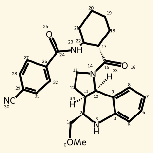 COC[C@@H]1Nc2ccccc2[C@H]2[C@@H]1CCN2C(=O)[C@H]1CCCC[C@H]1NC(=O)c1ccc(C#N)cc1